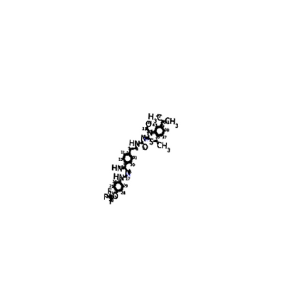 CCS/C(=N\C(=O)NCCc1ccc(C(=N)/N=C\Nc2ccc(OC(F)(F)F)cc2)cc1)N(C=O)c1cccc(C(C)C)c1